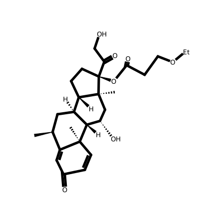 CCOCCC(=O)O[C@]1(C(=O)CO)CC[C@H]2[C@@H]3C[C@H](C)C4=CC(=O)C=C[C@]4(C)[C@H]3[C@@H](O)C[C@@]21C